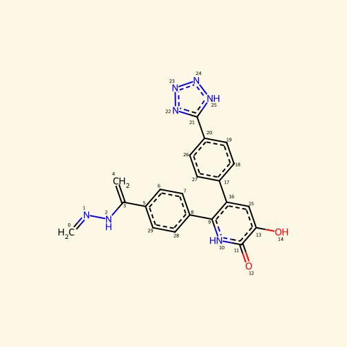 C=NNC(=C)c1ccc(-c2[nH]c(=O)c(O)cc2-c2ccc(-c3nnn[nH]3)cc2)cc1